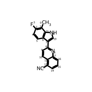 Cc1c(F)ccc2c(-c3ccc4c(C#N)cccc4n3)c[nH]c12